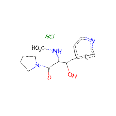 Cl.O=C(O)NC(C(=O)N1CCCC1)C(O)c1ccncc1